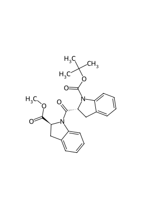 COC(=O)[C@@H]1Cc2ccccc2N1C(=O)[C@H]1Cc2ccccc2N1C(=O)OC(C)(C)C